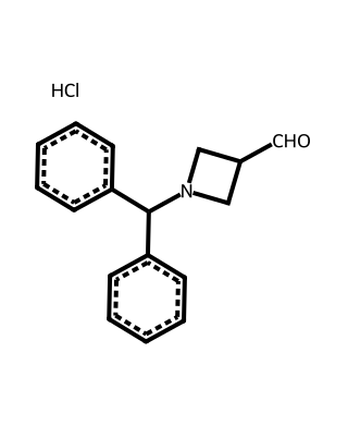 Cl.O=CC1CN(C(c2ccccc2)c2ccccc2)C1